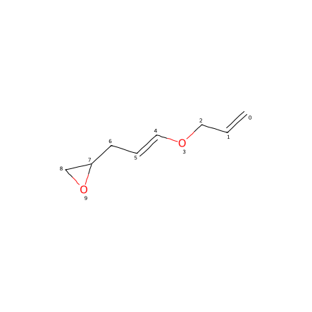 C=CCOC=CCC1CO1